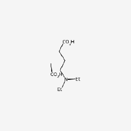 CC(=O)O.CCN(CC)CCCC(=O)O